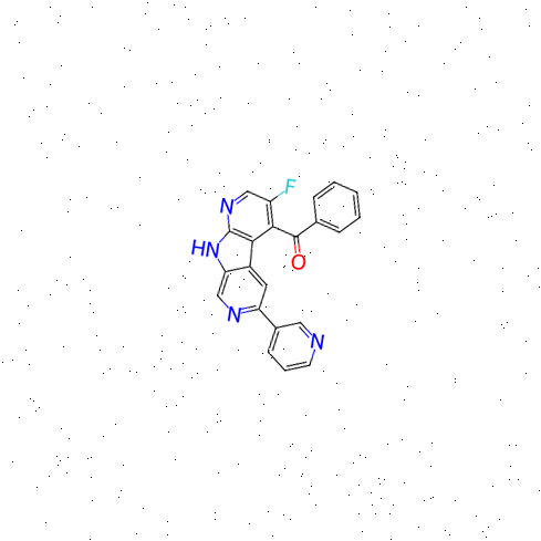 O=C(c1ccccc1)c1c(F)cnc2[nH]c3cnc(-c4cccnc4)cc3c12